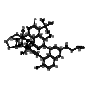 [2H]C([2H])([2H])c1c(C)nc(N2CC3CCC(C2)N3C(=O)OC(C)(C)C)c2cnc(-c3cc(OCOC)cc4ccc(F)c(C#C[Si](C(C)C)(C(C)C)C(C)C)c34)c(F)c12